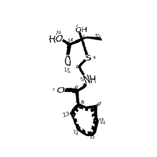 CC(O)(SCNC(=O)c1ccccc1)C(=O)O